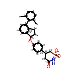 Cc1cccc(C)c1-c1cccc2c1CC[C@H]2Oc1ccc(C2CC(=O)NS(=O)(=O)C2)cc1